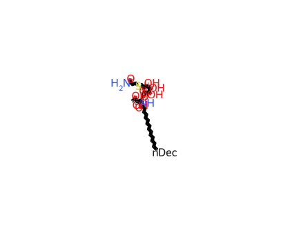 CCCCCCCCCCCCCCCCCCCCCCCCCC(=O)N[C@@H](CO[C@H]1OC(CSCCC(N)=O)[C@H](O)C(O)C1O)[C@H](O)[C@@H](C)O